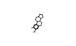 Cc1cc2c(cc1C(=O)O)CCC1C2CC[C@]2(C)C(=O)CCC12